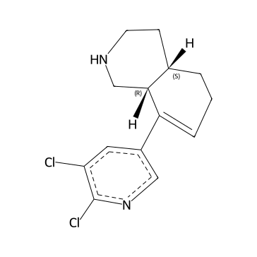 Clc1cc(C2=CCC[C@H]3CCNC[C@@H]23)cnc1Cl